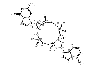 Nc1nc2c(ncn2[C@@H]2O[C@@H]3COP(=O)(S)O[C@H]4C[C@H](c5cnn6c(N)ccnc56)O[C@@H]4COP(=O)(S)O[C@@H]2[C@@H]3F)c(=O)[nH]1